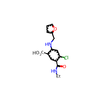 CCNC(=O)c1cc(C(=O)O)c(NCc2ccco2)cc1Cl